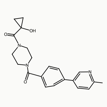 Cc1ccc(-c2ccc(C(=O)N3CCN(C(=O)C4(O)CC4)CC3)cc2)cn1